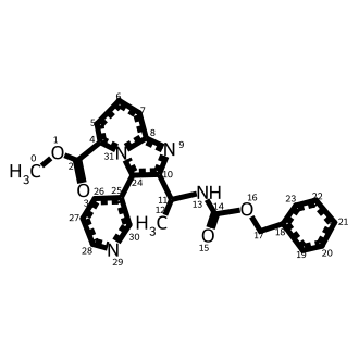 COC(=O)c1cccc2nc(C(C)NC(=O)OCc3ccccc3)c(-c3cccnc3)n12